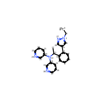 CC(C)Cn1cc(-c2ccccc2C(C)N(c2cccnc2)c2cccnc2)cn1